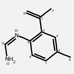 C=C(C)c1cc(C)ccc1/N=C\N